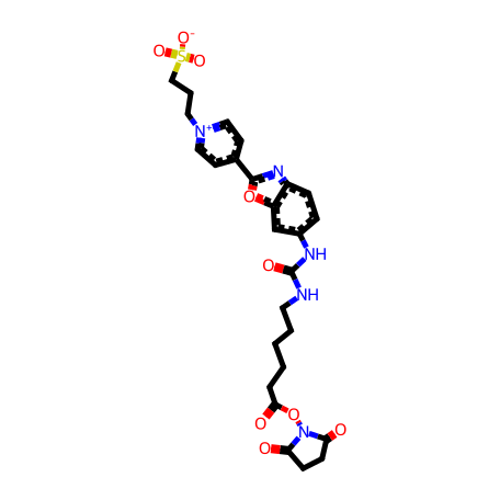 O=C(NCCCCCC(=O)ON1C(=O)CCC1=O)Nc1ccc2nc(-c3cc[n+](CCCS(=O)(=O)[O-])cc3)oc2c1